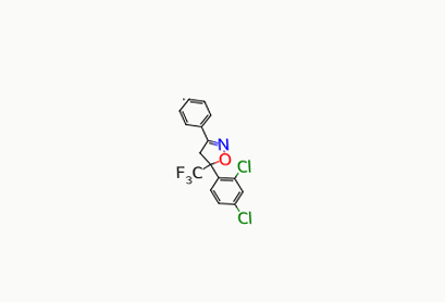 FC(F)(F)C1(c2ccc(Cl)cc2Cl)CC(c2cc[c]cc2)=NO1